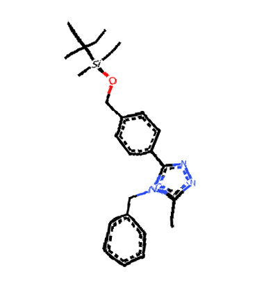 Cc1nnc(-c2ccc(CO[Si](C)(C)C(C)(C)C)cc2)n1Cc1ccccc1